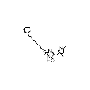 Cc1cc(C)c(Cc2cnc(SCCCCCCCCc3ccccc3)[nH]c2=O)cn1